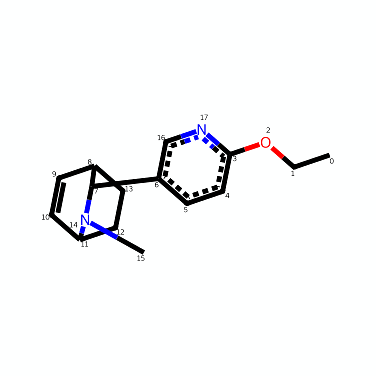 CCOc1ccc(C2C3C=CC(CC3)N2C)cn1